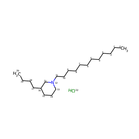 CCCCCCCCCCCCN1CCCC(CCCC)C1.Cl